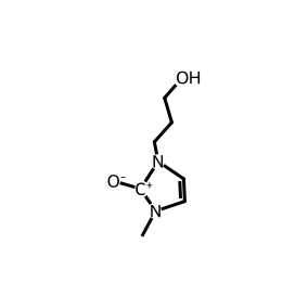 Cn1ccn(CCCO)[c+]1[O-]